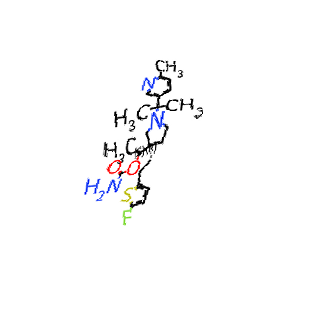 Cc1ccc(C(C)(C)N2CC[C@@](CCc3ccc(F)s3)([C@H](C)OC(N)=O)C2)cn1